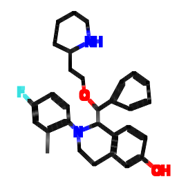 Cc1cc(F)ccc1N1CCc2cc(O)ccc2C1C(OCCC1CCCCN1)c1ccccc1